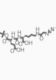 CC(C)(C)OC(=O)[C@H](CCC(=O)O)NC(=O)N[C@@H](CCCCNC(=O)CN=[N+]=[N-])C(=O)O